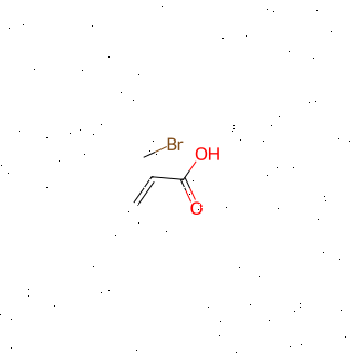 C=CC(=O)O.CBr